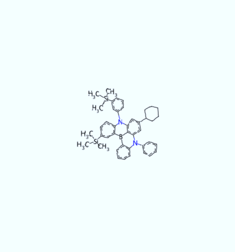 C[Si](C)(C)c1cccc(N2c3ccc([Si](C)(C)C)cc3B3c4ccccc4N(c4ccccc4)c4cc(C5CCCCC5)cc2c43)c1